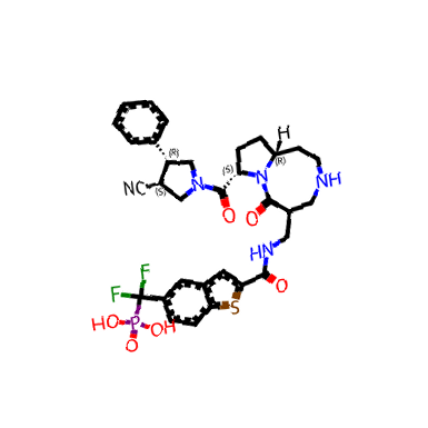 N#C[C@@H]1CN(C(=O)[C@@H]2CC[C@@H]3CCNCC(CNC(=O)c4cc5cc(C(F)(F)P(=O)(O)O)ccc5s4)C(=O)N32)C[C@H]1c1ccccc1